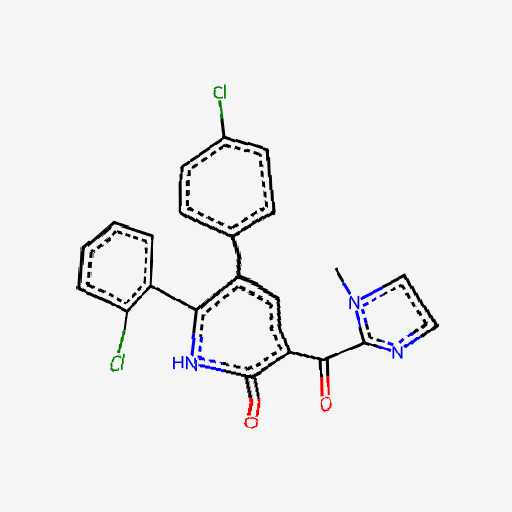 Cn1ccnc1C(=O)c1cc(-c2ccc(Cl)cc2)c(-c2ccccc2Cl)[nH]c1=O